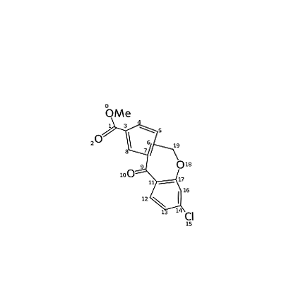 COC(=O)c1ccc2c(c1)C(=O)c1ccc(Cl)cc1OC2